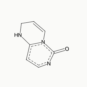 O=c1nccc2n1C=CCN2